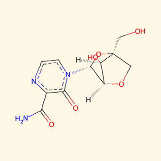 NC(=O)c1nccn([C@@H]2O[C@@]3(CO)CO[C@@H]2[C@H]3O)c1=O